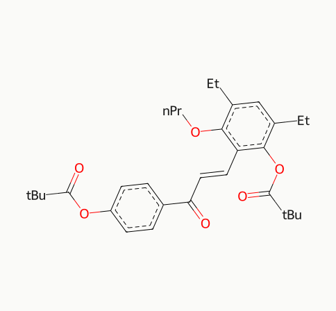 CCCOc1c(CC)cc(CC)c(OC(=O)C(C)(C)C)c1/C=C/C(=O)c1ccc(OC(=O)C(C)(C)C)cc1